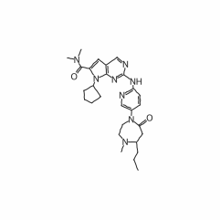 CCCC1CC(=O)N(c2ccc(Nc3ncc4cc(C(=O)N(C)C)n(C5CCCC5)c4n3)nc2)CCN1C